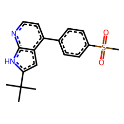 CC(C)(C)c1cc2c(-c3ccc(S(C)(=O)=O)cc3)ccnc2[nH]1